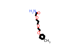 Cc1ccc(OCCOCCCOCC(N)=O)cc1